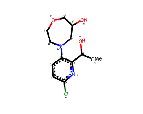 COC(O)c1nc(Cl)ccc1N1CCOCC(O)C1